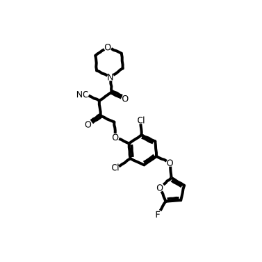 N#CC(C(=O)COc1c(Cl)cc(Oc2ccc(F)o2)cc1Cl)C(=O)N1CCOCC1